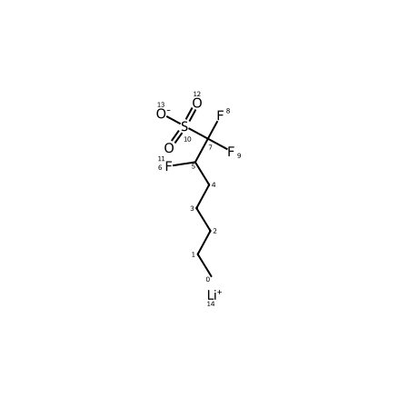 CCCCCC(F)C(F)(F)S(=O)(=O)[O-].[Li+]